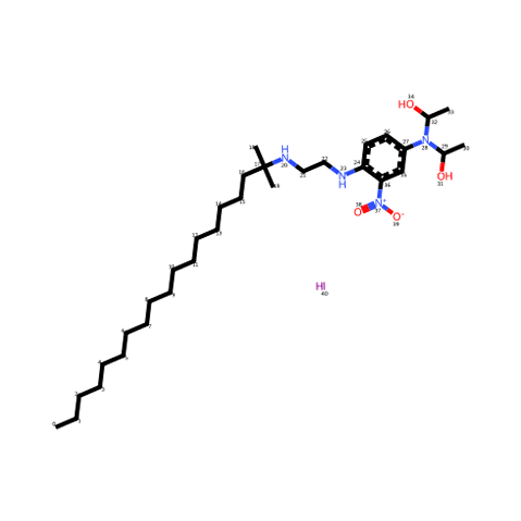 CCCCCCCCCCCCCCCCCC(C)(C)NCCNc1ccc(N(C(C)O)C(C)O)cc1[N+](=O)[O-].I